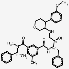 COc1cccc(C2CCOCC2NC[C@@H](O)[C@H](Cc2ccccc2)NC(=O)c2cc(C)cc(C(=O)N(C)[C@H](C)c3ccccc3)c2)c1